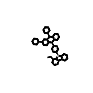 CCc1cccc2c3ccccc3n(-c3ccc(-c4c5ccccc5c(-c5ccccc5)c5cc(-c6ccccc6)ccc45)cc3)c12